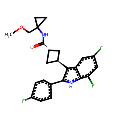 COCC1(NC(=O)[C@H]2C[C@H](c3c(-c4ccc(F)cc4)[nH]c4c(F)cc(F)cc43)C2)CC1